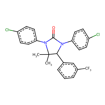 CC1(C)C(c2cccc(C(F)(F)F)c2)N(c2ccc(Cl)cc2)C(=O)N1c1ccc(Cl)cc1